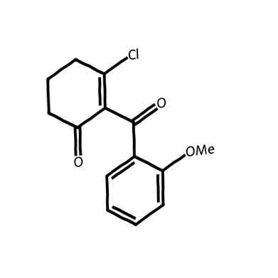 COc1ccccc1C(=O)C1=C(Cl)CCCC1=O